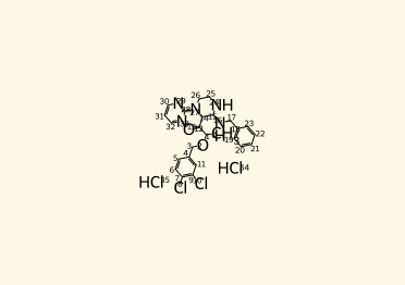 CC(OCc1ccc(Cl)c(Cl)c1)C(=O)C1C(NCc2ccccc2)NCCN1c1ncccn1.Cl.Cl